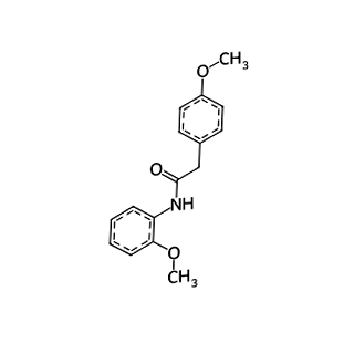 COc1ccc(CC(=O)Nc2ccccc2OC)cc1